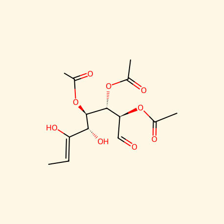 CC=C(O)[C@@H](O)[C@@H](OC(C)=O)[C@H](OC(C)=O)[C@H](C=O)OC(C)=O